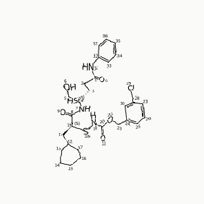 O=C(CC[Si@@H](CO)NC(=O)[C@H](CC1CCCCC1)SNC(=O)OCc1cccc(Cl)c1)Nc1ccccc1